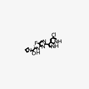 C[C@H](Nc1nc(C2=CNC3NC=C(Cl)C=C23)ncc1F)C(=O)N1CCC1